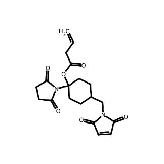 C=CCC(=O)OC1(N2C(=O)CCC2=O)CCC(CN2C(=O)C=CC2=O)CC1